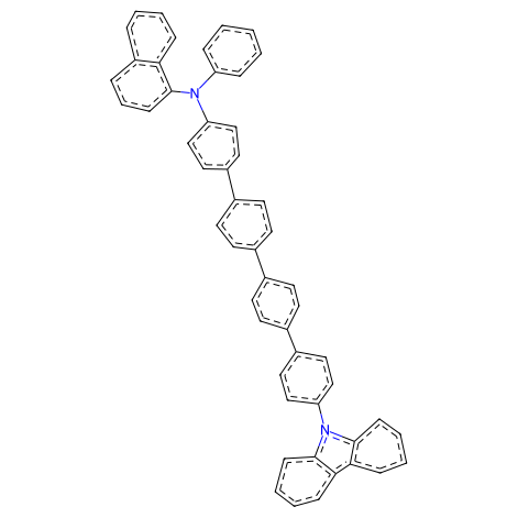 c1ccc(N(c2ccc(-c3ccc(-c4ccc(-c5ccc(-n6c7ccccc7c7ccccc76)cc5)cc4)cc3)cc2)c2cccc3ccccc23)cc1